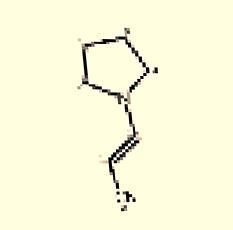 N#C/C=C/N1CCCC1